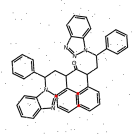 O=C(C(CC(c1ccccc1)n1nnc2ccccc21)c1ccccc1)C(CC(c1ccccc1)n1nnc2ccccc21)c1ccccc1